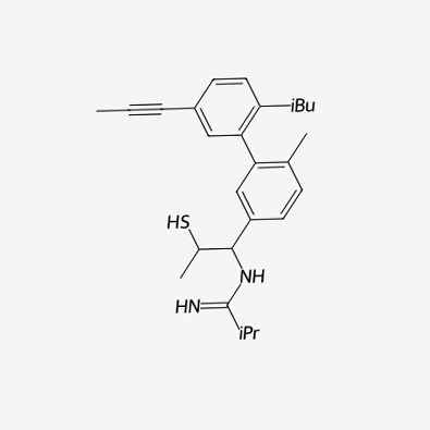 CC#Cc1ccc(C(C)CC)c(-c2cc(C(NC(=N)C(C)C)C(C)S)ccc2C)c1